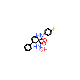 O=C(NO)C1(C(=O)Nc2ccc(F)cc2)C=CC=C(c2ccccc2)C1